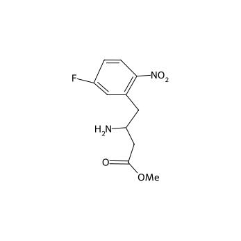 COC(=O)CC(N)Cc1cc(F)ccc1[N+](=O)[O-]